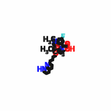 CC(C)[C@@H]1CN(C)c2cc(F)cc([C@@H](C(=O)O)N3CC[C@@H](OCCCCc4ccc5c(n4)NCCC5)C3)c2O1